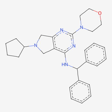 c1ccc(C(Nc2nc(N3CCOCC3)nc3c2CN(C2CCCC2)C3)c2ccccc2)cc1